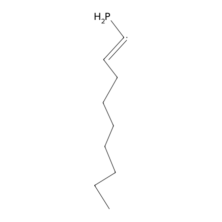 CCCCCCCC=[C]P